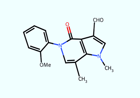 COc1ccccc1-n1cc(C)c2c(c(C=O)cn2C)c1=O